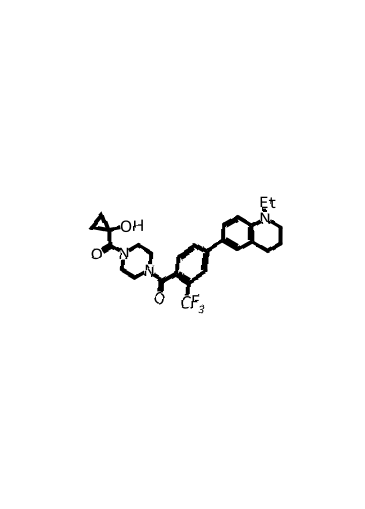 CCN1CCCc2cc(-c3ccc(C(=O)N4CCN(C(=O)C5(O)CC5)CC4)c(C(F)(F)F)c3)ccc21